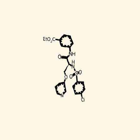 CCOC(=O)c1cccc(NC(=O)[C@H](COc2cccnc2)NS(=O)(=O)c2ccc(Cl)cc2)c1